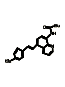 CC(C)(C)C(=O)Nc1ccc(C=Cc2ccc(C(C)(C)C)cc2)c2cccnc12